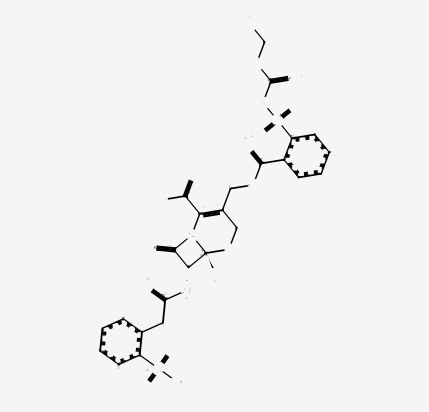 CCOC(=O)NS(=O)(=O)c1ccccc1C(=O)OCC1=C(C(=O)O)N2C(=O)[C@@H](NC(=O)Cc3ccccc3S(=O)(=O)O)[C@H]2SC1